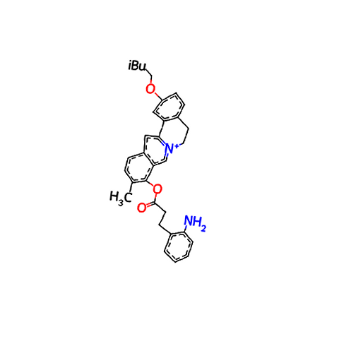 CCC(C)COc1ccc2c(c1)-c1cc3ccc(C)c(OC(=O)CCc4ccccc4N)c3c[n+]1CC2